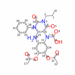 CCCn1c(=O)c(N(C(=O)O)c2ccc(OC(C)=O)c(OC(C)=O)c2)c(N)n(-c2ccccc2)c1=O